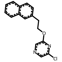 Clc1cncc(OCCc2ccc3ccccc3c2)n1